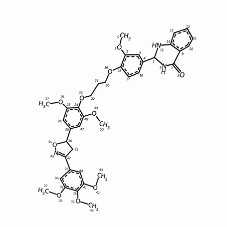 COc1cc(C2NC(=O)c3ccccc3N2)ccc1OCCCOc1c(OC)cc(C2CC(c3cc(OC)c(OC)c(OC)c3)=NO2)cc1OC